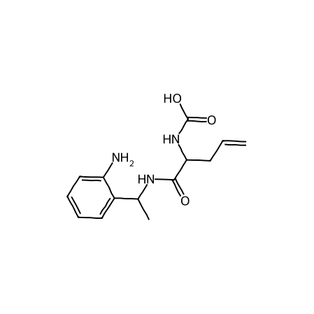 C=CCC(NC(=O)O)C(=O)NC(C)c1ccccc1N